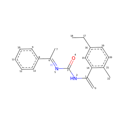 C=C(NC(=O)/N=C(\C)c1ccccc1)c1cc(CC)ccc1C